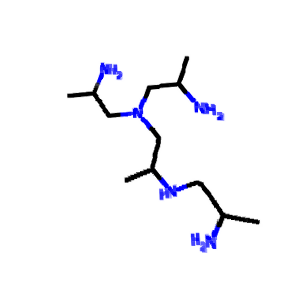 CC(N)CNC(C)CN(CC(C)N)CC(C)N